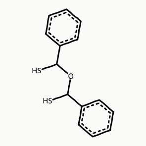 SC(OC(S)c1ccccc1)c1ccccc1